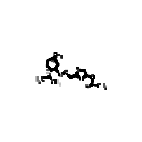 CC(=O)O[C@@H]1CSC(COOC2C[C@H](C)CC[C@H]2C(C)C)O1